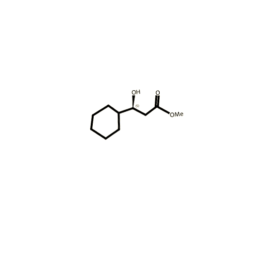 COC(=O)C[C@H](O)C1CCCCC1